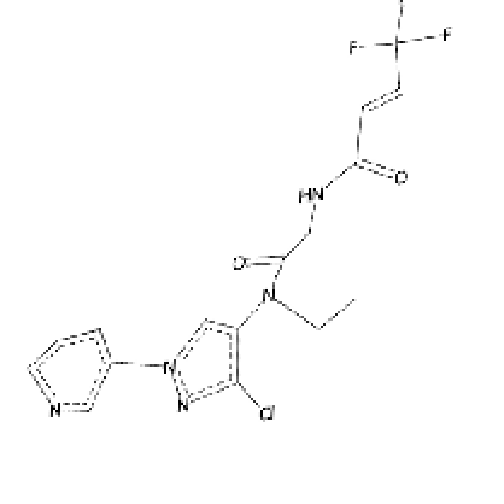 CCN(C(=O)CNC(=O)C=CC(F)(F)F)c1cn(-c2cccnc2)nc1Cl